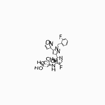 CC(C)(C)[C@H](CC(=O)O)Nc1nc(-c2cc(-c3ccon3)n(Cc3ccccc3F)n2)ncc1F